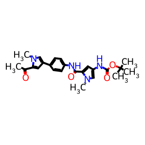 CC(=O)c1cc(-c2ccc(NC(=O)c3cc(NC(=O)OC(C)(C)C)cn3C)cc2)cn1C